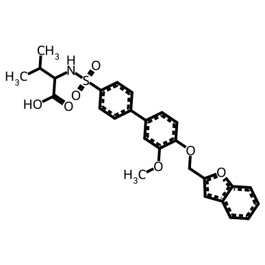 COc1cc(-c2ccc(S(=O)(=O)NC(C(=O)O)C(C)C)cc2)ccc1OCc1cc2ccccc2o1